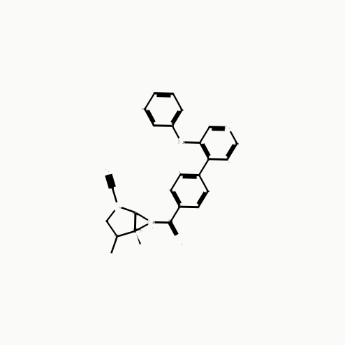 CC1CN(C#N)C2[C@@H]1N2C(=O)c1ccc(-c2ccncc2Nc2ccccc2)cc1